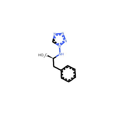 O=C(O)[C@H](Cc1ccccc1)Nn1cnnn1